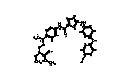 CCC(CCN(C)c1ccc(NC(=O)c2nnc(Nc3ccc(Oc4ccc(F)cc4)cc3)o2)cn1)C(=O)OC